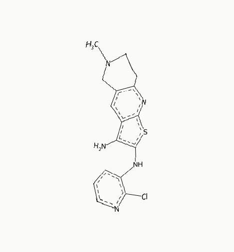 CN1CCc2nc3sc(Nc4cccnc4Cl)c(N)c3cc2C1